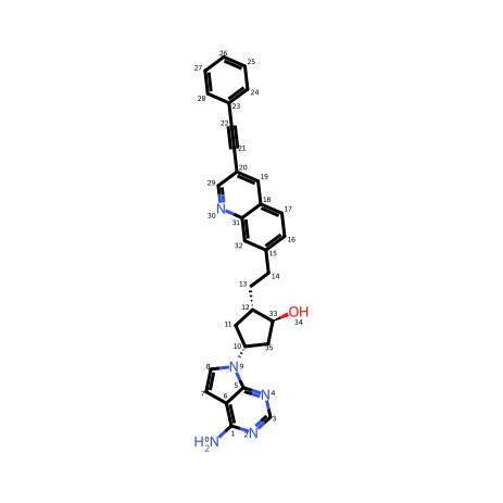 Nc1ncnc2c1ccn2[C@@H]1C[C@H](CCc2ccc3cc(C#Cc4ccccc4)cnc3c2)[C@@H](O)C1